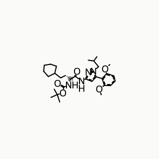 COc1cccc(OC)c1-c1cc(NC(=O)[C@@H](CCC2CCCCC2)NC(=O)OC(C)(C)C)nn1CC(C)C